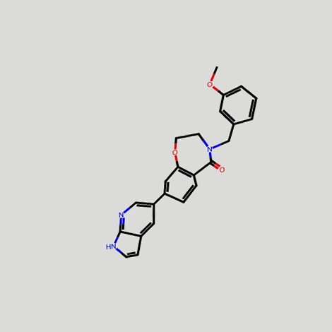 COc1cccc(CN2CCOc3cc(-c4cnc5[nH]ccc5c4)ccc3C2=O)c1